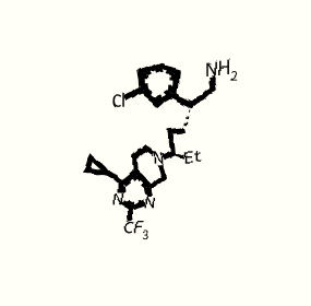 CC[C@H](CC[C@@H](CN)c1cccc(Cl)c1)N1CCc2c(nc(C(F)(F)F)nc2C2CC2)C1